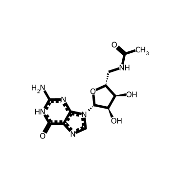 CC(=O)NC[C@H]1O[C@@H](n2cnc3c(=O)[nH]c(N)nc32)[C@H](O)[C@@H]1O